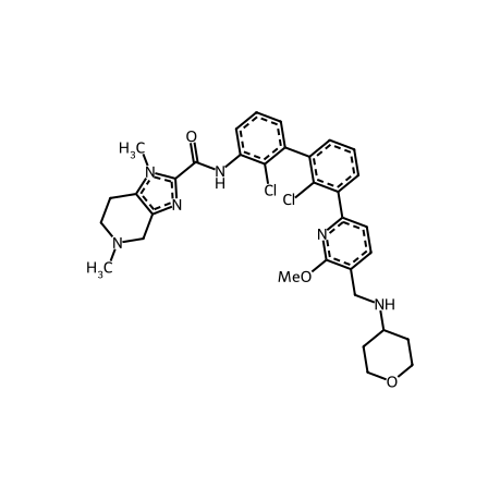 COc1nc(-c2cccc(-c3cccc(NC(=O)c4nc5c(n4C)CCN(C)C5)c3Cl)c2Cl)ccc1CNC1CCOCC1